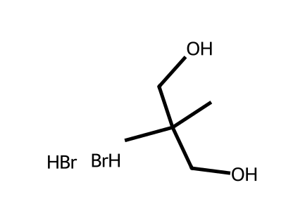 Br.Br.CC(C)(CO)CO